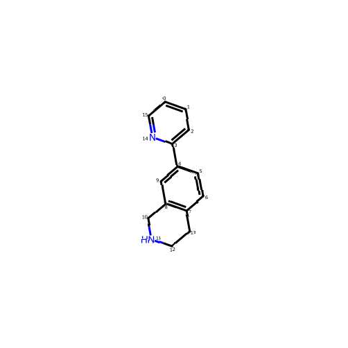 c1ccc(-c2ccc3c(c2)CNCC3)nc1